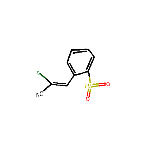 N#CC(Cl)=Cc1ccccc1[SH](=O)=O